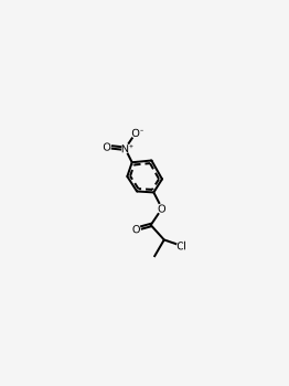 CC(Cl)C(=O)Oc1ccc([N+](=O)[O-])cc1